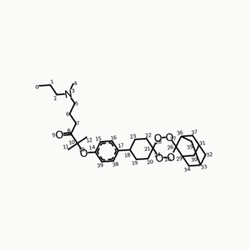 CCCN(C)CCCC(=O)C(C)(C)Oc1ccc(C2CCC3(CC2)OOC2(OO3)C3CC4CC(C3)CC2C4)cc1